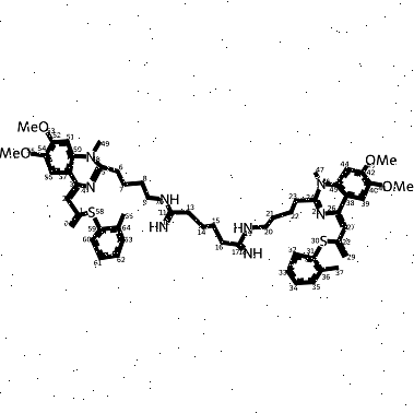 C=C(C=C1N=C(CCCCNC(=N)CCCCC(=N)NCCCCC2=NC(=CC(=C)Sc3ccccc3C)c3cc(OC)c(OC)cc3N2C)N(C)c2cc(OC)c(OC)cc21)Sc1ccccc1C